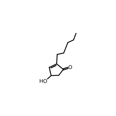 CCCCCC1=CC(O)CC1=O